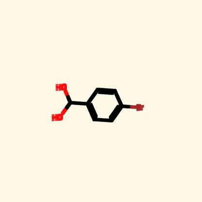 OC(O)c1ccc(Br)cc1